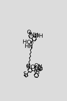 O=C(O)N(C(c1ccccc1)c1cc(OCCCCCCCCCNC[C@H](O)c2ccc(O)c3[nH]c(=O)ccc23)cc(-c2cccs2)c1)[C@H]1CN2CCC1CC2